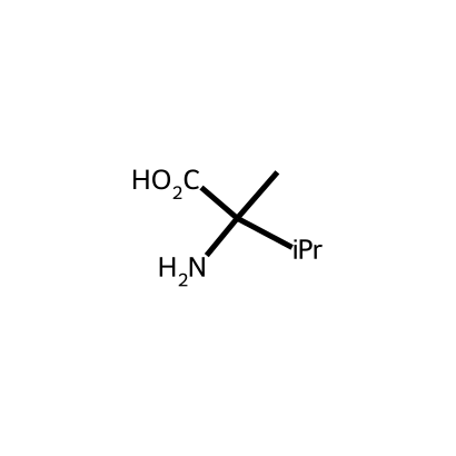 CC(C)C(C)(N)C(=O)O